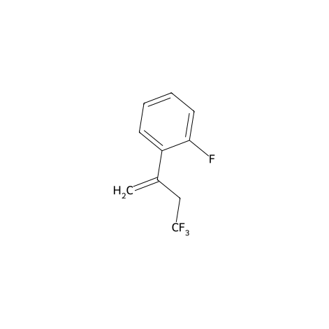 C=C(CC(F)(F)F)c1ccccc1F